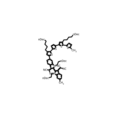 [C-]#[N+]\C(C#N)=c1/c(=c2/c(=C(\C#N)[N+]#[C-])c3ccc(C)cc3n2CCCCCCCCCCCC)n(CCCCCCCCCCCC)c2cc(-c3cc(CCCCCCCCCCCCCC)c(-c4ccc(-c5cc(CCCCCCCCCCCCCC)c(-c6ccc(C)s6)s5)s4)s3)ccc12